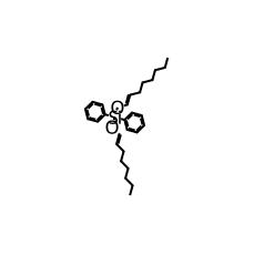 CCCCCCC=CO[Si](OC=CCCCCCC)(c1ccccc1)c1ccccc1